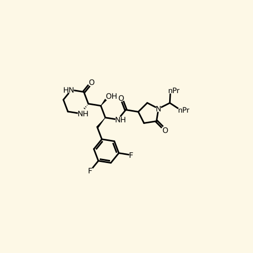 CCCC(CCC)N1CC(C(=O)N[C@@H](Cc2cc(F)cc(F)c2)[C@H](O)[C@@H]2NCCNC2=O)CC1=O